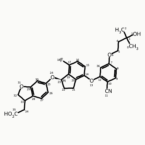 CC(C)(O)CCOc1ccc(C#N)c(Oc2ccc(F)c3c2CC[C@H]3Oc2ccc3c(c2)OCC3CC(=O)O)c1